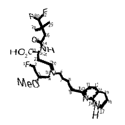 CO[C@H](CF)CN(CCCCc1ccc2c(n1)NCCC2)CC[C@H](NC(=O)CC(C)(C)C(F)F)C(=O)O